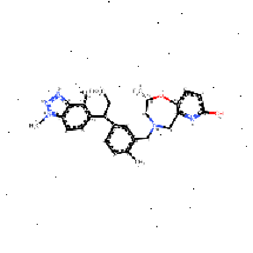 CCOC(=O)CC(c1ccc(C)c(CN2Cc3nc(O)ccc3O[C@@H](C(F)(F)F)C2)c1)c1ccc2c(nnn2C)c1C